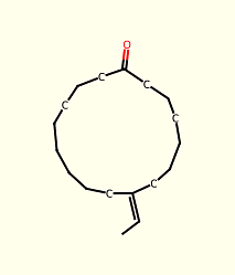 CC=C1CCCCCCCCC(=O)CCCCCC1